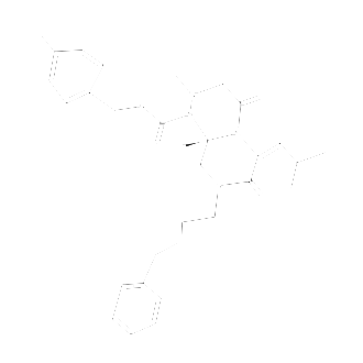 CC(C)/C=C1\C(=O)N(CCSCc2ccccc2)C[C@H]2N1C(=O)CN(C)N2C(=O)NCc1ccc(F)cc1